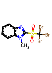 Cn1c(S(=O)(=O)C(Br)(Br)Br)nc2ccccc21